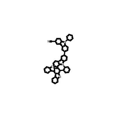 N#Cc1ccc2c(c1)c1cc(-c3ccc4c(c3)c3ccccc3n4-c3ccccc3-c3cc4oc5ccccc5c4c4c3sc3ccccc34)ccc1n2-c1ccccc1